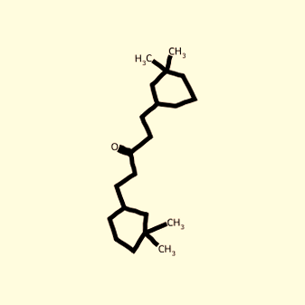 CC1(C)CCCC(CCC(=O)CCC2CCCC(C)(C)C2)C1